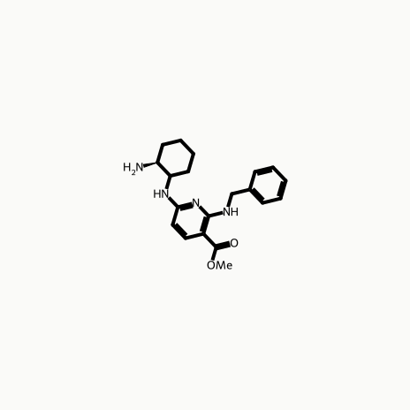 COC(=O)c1ccc(NC2CCCC[C@@H]2N)nc1NCc1ccccc1